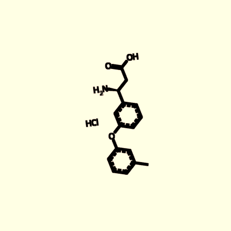 Cc1cccc(Oc2cccc([C@@H](N)CC(=O)O)c2)c1.Cl